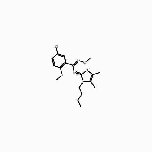 CCCCn1c(C)c(C)s/c1=N\C(=NOC)c1cc(Cl)ccc1OC